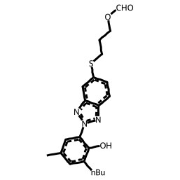 CCCCc1cc(C)cc(-n2nc3ccc(SCCCOC=O)cc3n2)c1O